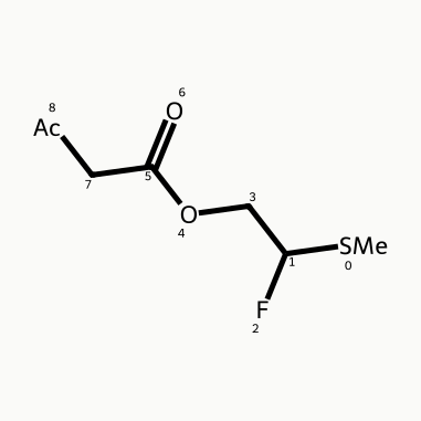 CSC(F)COC(=O)CC(C)=O